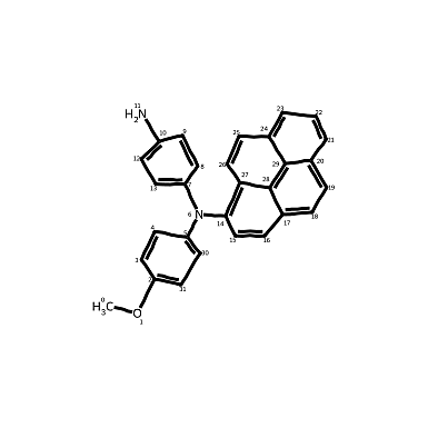 COc1ccc(N(c2ccc(N)cc2)c2ccc3ccc4cccc5ccc2c3c45)cc1